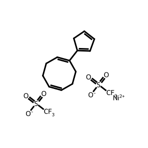 C1=CCC(C2=CCCC=CCC2)=C1.O=S(=O)([O-])C(F)(F)F.O=S(=O)([O-])C(F)(F)F.[Ni+2]